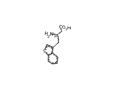 N[C@@H](CC(=O)O)Cc1csc2ccccc12